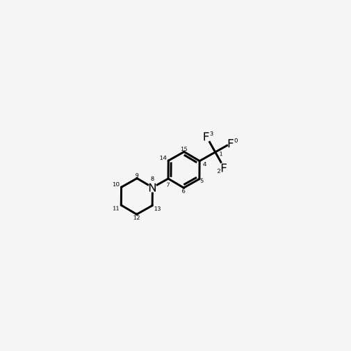 FC(F)(F)c1ccc(N2CCCCC2)cc1